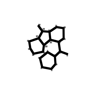 CC(C1CCCCC1)C1CCCC2C(C)C3CCCCC3C12